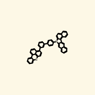 c1cc(-c2ccc(-n3c4cc5ccccc5cc4c4c5ccccc5ccc43)cc2)cc(-c2ccc3c4c(cccc24)-c2ccccc2S3)c1